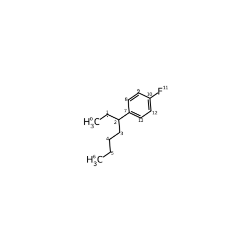 C[CH]C(CCCC)c1ccc(F)cc1